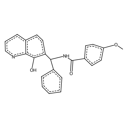 COc1ccc(C(=O)NC(c2ccccc2)c2ccc3cccnc3c2O)cc1